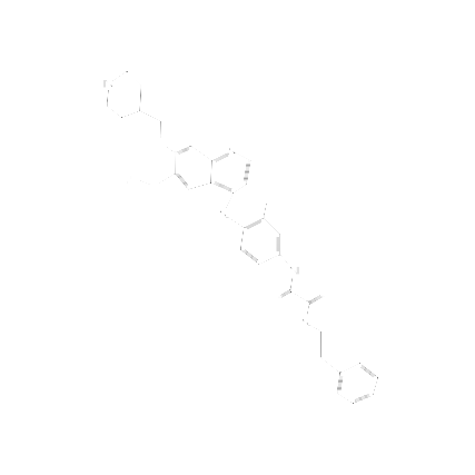 COc1cc2c(Nc3ccc(NC(=O)C(=O)NCCc4ccccc4)cc3F)ccnc2cc1OCC1CCNCC1